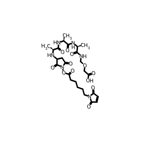 C[C@H](NC(=O)[C@H](C)NC(=O)[C@H](C)NC1CC(=O)N(OC(=O)CCCCCN2C(=O)C=CC2=O)C1=O)C(=O)NCOCC(=O)O